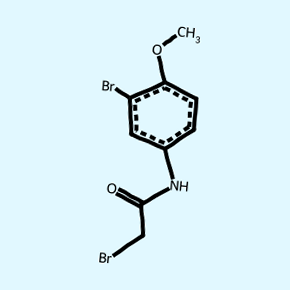 COc1ccc(NC(=O)CBr)cc1Br